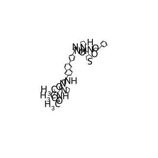 COC(=O)NC(C(=O)N1CCC[C@H]1c1ncc(-c2ccc3cc(-c4ccc(-c5cnc([C@@H]6CCCN6C(=O)C(NC(=O)OCc6ccccc6)C6CCSCC6)[nH]5)cc4)ccc3c2)[nH]1)C(C)C